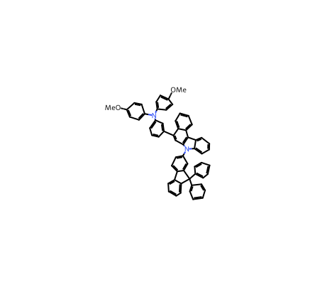 COc1ccc(N(c2ccc(OC)cc2)c2cccc(-c3cc4c(c5ccccc35)c3ccccc3n4-c3ccc4c(c3)C(c3ccccc3)(c3ccccc3)c3ccccc3-4)c2)cc1